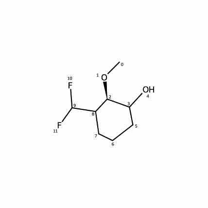 CO[C@H]1C(O)CCCC1C(F)F